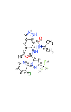 C#Cc1cc2cn[nH]c2c(C(=O)NC(C)C)c1NC(=O)c1cc(C(F)(F)F)nn1-c1ncccc1Cl